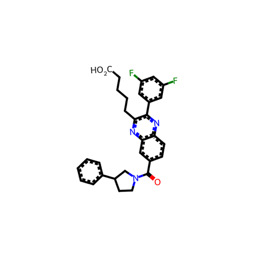 O=C(O)CCCCc1nc2cc(C(=O)N3CCC(c4ccccc4)C3)ccc2nc1-c1cc(F)cc(F)c1